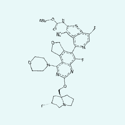 CC(C)(C)OC(=O)Nc1sc2c(F)cnc(-c3c4c(c5c(N6CCOCC6)nc(OC[C@@]67CCCN6C[C@H](F)C7)nc5c3F)COC4)c2c1C#N